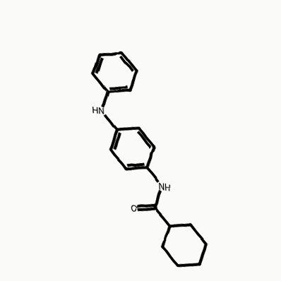 O=C(Nc1ccc(Nc2ccccc2)cc1)C1CCCCC1